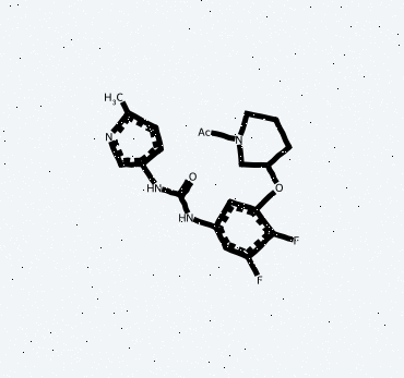 CC(=O)N1CCCC(Oc2cc(NC(=O)Nc3ccc(C)nc3)cc(F)c2F)C1